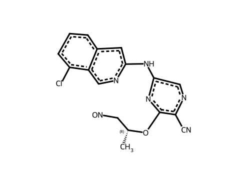 C[C@H](CN=O)Oc1nc(Nc2cc3cccc(Cl)c3cn2)cnc1C#N